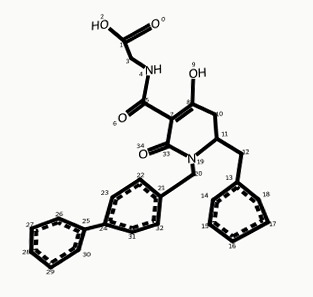 O=C(O)CNC(=O)C1=C(O)CC(Cc2ccccc2)N(Cc2ccc(-c3ccccc3)cc2)C1=O